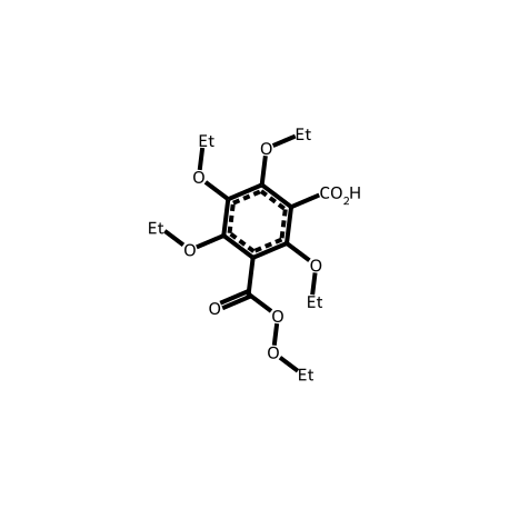 CCOOC(=O)c1c(OCC)c(OCC)c(OCC)c(C(=O)O)c1OCC